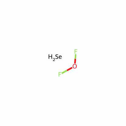 FOF.[SeH2]